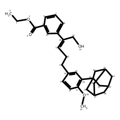 CCOC(=O)c1cccc(C(=CCCc2ccc(OC)c(C34CC5CC(CC(C5)C3)C4)c2)CO)c1